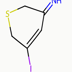 N=C1C=C(I)CSC1